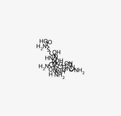 NC(=O)NC1C(OC2OC(C(=O)NC(CCSCC(N)C(=O)O)C(=O)O)CC(N)C2O)C(C(=O)O)OC2C(O)C(n3ccc(N)nc3=O)OC12